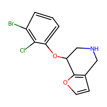 Clc1c(Br)cccc1OC1CNCc2ccoc21